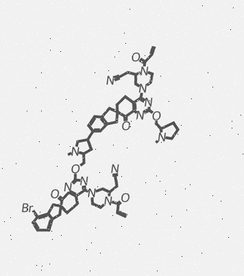 C=CC(=O)N1CCN(c2nc(OCC3CCCN3C)nc3c2CCC2(Cc4ccc(C5CC(COc6nc7c(c(N8CCN(C(=O)C=C)C(CC#N)C8)n6)CCC6(Cc8cccc(Br)c8C6)C7=O)N(C)C5)cc4C2)C3=O)CC1CC#N